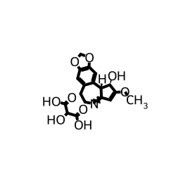 COC1=C[C@]23CCCN2CCc2cc4c(cc2[C@@H]3[C@@H]1O)OCO4.O=C(O)C(O)C(=O)O